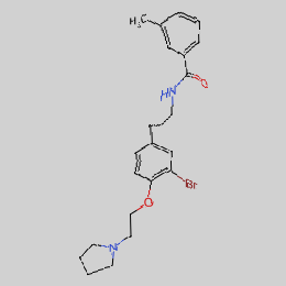 Cc1cccc(C(=O)NCCc2ccc(OCCN3CCCC3)c(Br)c2)c1